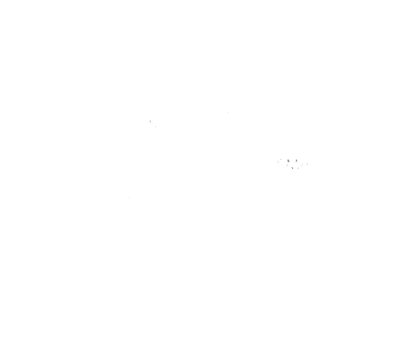 CC=CC(C)(C)C1C=CC(Sc2ccc(Sc3ccc(SC)cc3)cc2)=CC1